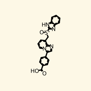 O=C(O)c1ccc(-c2cnc3c(C[S+]([O-])c4nc5ccccc5[nH]4)cccn23)cc1